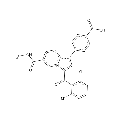 CNC(=O)c1ccc2c(-c3ccc(C(=O)O)cc3)cc(C(=O)c3c(Cl)cccc3Cl)n2c1